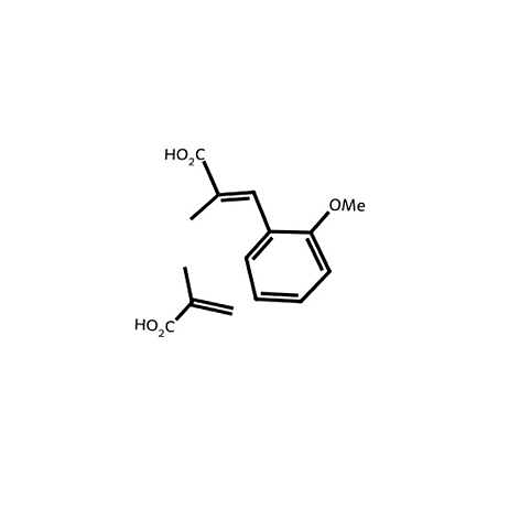 C=C(C)C(=O)O.COc1ccccc1C=C(C)C(=O)O